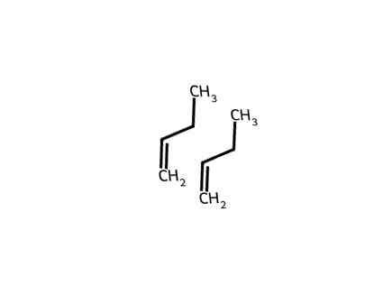 C=CCC.C=CCC